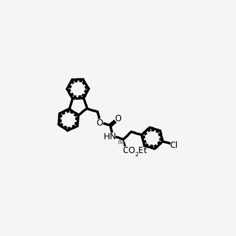 CCOC(=O)[C@H](Cc1ccc(Cl)cc1)NC(=O)OCC1c2ccccc2-c2ccccc21